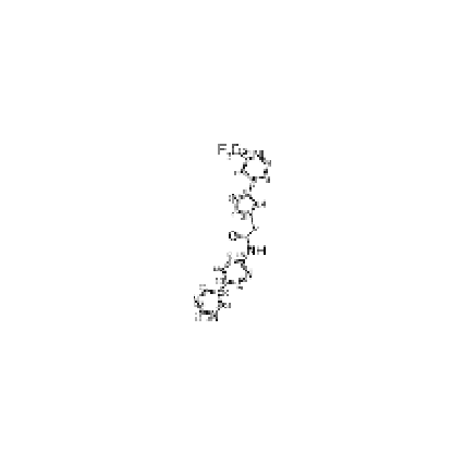 O=C(Cn1cnc(-c2ccnc(C(F)(F)F)c2)c1)Nc1ccc(-c2cncnc2)cn1